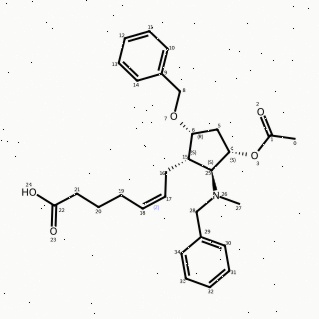 CC(=O)O[C@H]1C[C@@H](OCc2ccccc2)[C@@H](C/C=C\CCCC(=O)O)[C@@H]1N(C)Cc1ccccc1